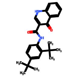 CC(C)(C)c1ccc(NC(=O)c2c[nH]c3ccccc3c2=O)c(C(C)(C)C)c1